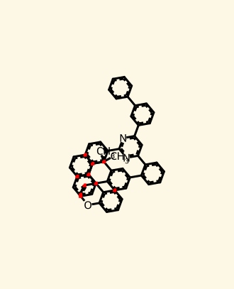 CC1(C)c2ccccc2C2(c3ccccc3Oc3ccccc32)c2ccc(-c3ccccc3-c3cc(-c4cccc(-c5ccccc5)c4)nc(-c4cccc(-c5ccccc5)c4)n3)cc21